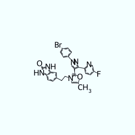 CC1=CN(CCc2ccc3[nH]c(=O)[nH]c3c2)[C@@H](c2cn(-c3ccc(Br)cc3)nc2-c2ccc(F)cn2)O1